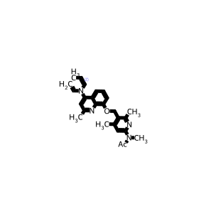 C=CN(/C=C\C)c1cc(C)nc2c(OCc3c(C)cc(N(C)C(C)=O)nc3C)cccc12